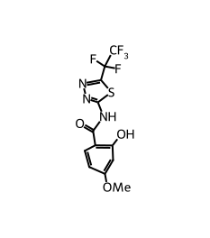 COc1ccc(C(=O)Nc2nnc(C(F)(F)C(F)(F)F)s2)c(O)c1